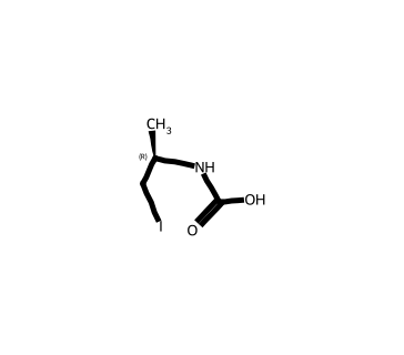 C[C@H](CI)NC(=O)O